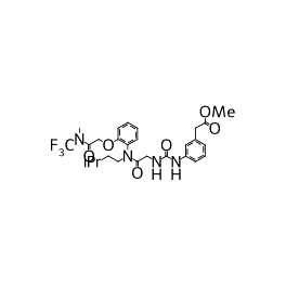 COC(=O)Cc1cccc(NC(=O)NCC(=O)N(CCC(C)C)c2ccccc2OCC(=O)N(C)C(F)(F)F)c1